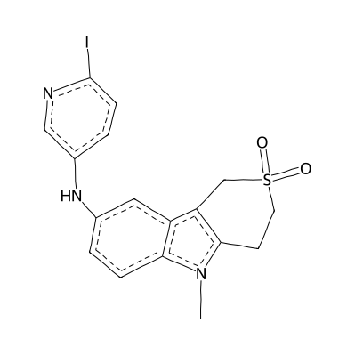 Cn1c2c(c3cc(Nc4ccc(I)nc4)ccc31)CS(=O)(=O)CC2